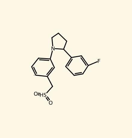 O=[SH](=O)Cc1[c]ccc(N2CCCC2c2cccc(F)c2)c1